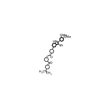 COc1ccc(-c2[nH]c3ccc(C4CCN(C(=O)CN5CCCC(C(=O)N6CCC(N(C)C)CC6)C5)CC4)cc3c2C(C)C)cc1OC